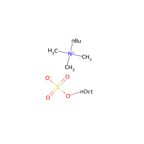 CCCCCCCCOS(=O)(=O)[O-].CCCC[N+](C)(C)C